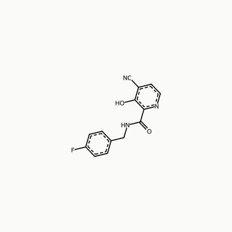 N#Cc1ccnc(C(=O)NCc2ccc(F)cc2)c1O